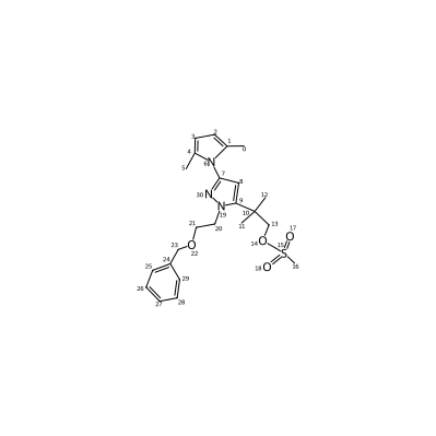 Cc1ccc(C)n1-c1cc(C(C)(C)COS(C)(=O)=O)n(CCOCc2ccccc2)n1